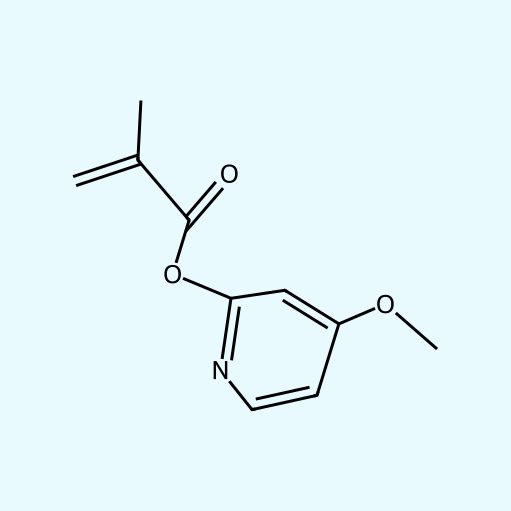 C=C(C)C(=O)Oc1cc(OC)ccn1